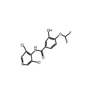 O=C(Nc1c(Cl)cncc1Cl)c1ccc(OC(F)F)c(O)c1